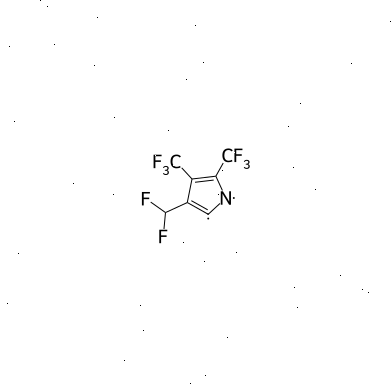 FC(F)C1=[C][N]C(C(F)(F)F)=C1C(F)(F)F